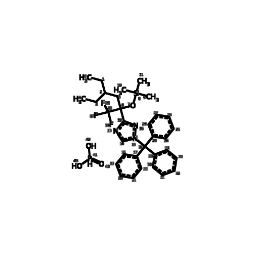 CCC(CC)CC(O[Si](C)(C)C)(c1ncn(C(c2ccccc2)(c2ccccc2)c2ccccc2)n1)C(F)(F)F.O=[PH](O)O